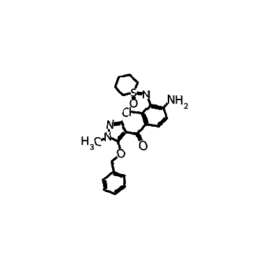 Cn1ncc(C(=O)c2ccc(N)c(N=S3(=O)CCCCC3)c2Cl)c1OCc1ccccc1